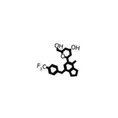 Cc1c(C2CC(O)CC(CO)O2)cc(Cc2ccc(C(F)(F)F)cc2)c2c1CCC2